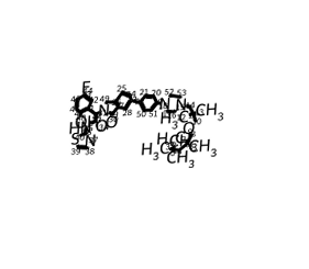 CC(C)(C)CC(C)(C)COCC(C)(C)CN1CCN(c2ccc(-c3ccc4c(c3)C(=O)N(C(C(=O)Nc3nccs3)c3cc(F)ccc3O)C4)cc2)CC1